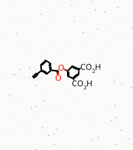 C#Cc1cccc(C(=O)Oc2cc(C(=O)O)cc(C(=O)O)c2)c1